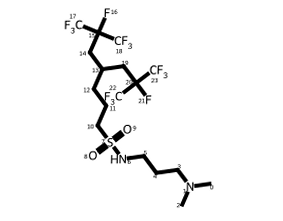 CN(C)CCCNS(=O)(=O)CCCC(CC(F)(C(F)(F)F)C(F)(F)F)CC(F)(C(F)(F)F)C(F)(F)F